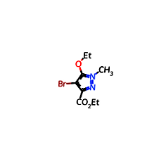 CCOC(=O)c1nn(C)c(OCC)c1Br